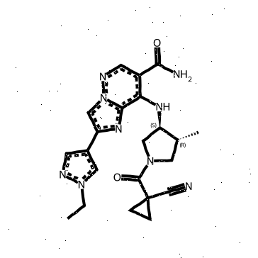 CCn1cc(-c2cn3ncc(C(N)=O)c(N[C@@H]4CN(C(=O)C5(C#N)CC5)C[C@H]4C)c3n2)cn1